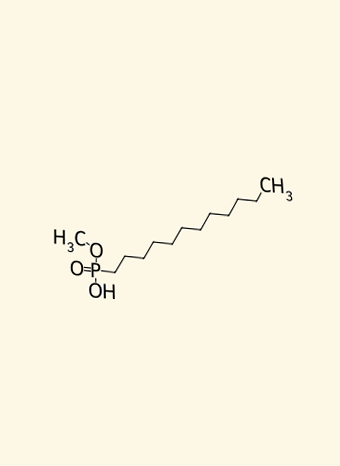 CCCCCCCCCCCCP(=O)(O)OC